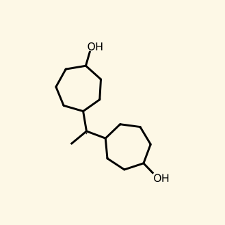 C[C](C1CCCC(O)CC1)C1CCCC(O)CC1